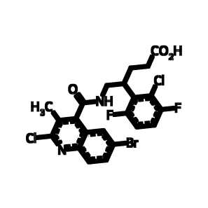 Cc1c(Cl)nc2ccc(Br)cc2c1C(=O)NCC(CCC(=O)O)c1c(F)ccc(F)c1Cl